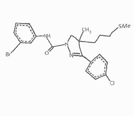 CSCCCC1(C)CN(C(=O)Nc2cccc(Br)c2)N=C1c1ccc(Cl)cc1